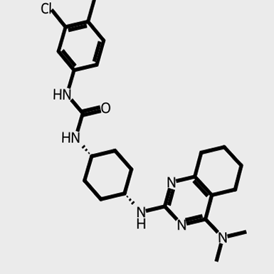 Cc1ccc(NC(=O)N[C@H]2CC[C@@H](Nc3nc4c(c(N(C)C)n3)CCCC4)CC2)cc1Cl